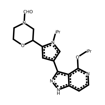 CC(C)Oc1nccc2[nH]nc(-c3cc(C4CN(C=O)CCO4)n(C(C)C)c3)c12